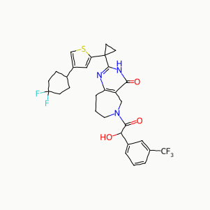 O=C(C(O)c1cccc(C(F)(F)F)c1)N1CCCc2nc(C3(c4cc(C5CCC(F)(F)CC5)cs4)CC3)[nH]c(=O)c2C1